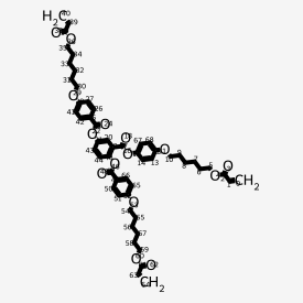 C=CC(=O)OCCCCCCOc1ccc(OC(=O)c2cc(OC(=O)c3ccc(OCCCCCCOC(=O)C=C)cc3)ccc2OC(=O)c2ccc(OCCCCCCOC(=O)C=C)cc2)cc1